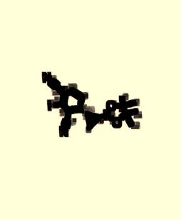 CC1(C)OB([C@H]2C[C@@H]2c2ccc(C#N)c(F)c2C#N)OC1(C)C